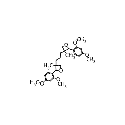 COc1ccc(C2OCC2(C)CCCC2(C)COC2c2ccc(OC)cc2OC)c(OC)c1